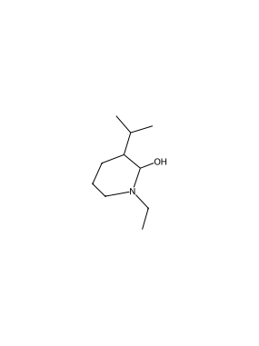 CCN1CCCC(C(C)C)C1O